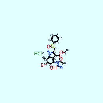 CCOC(=O)c1c(C[S+]([O-])c2ccccc2)n(C)c2c(C)c(Br)c(O)c(-n3ccnc3)c12.Cl